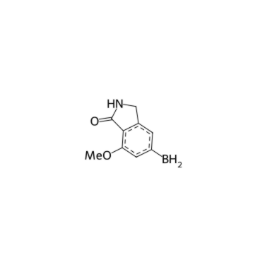 Bc1cc2c(c(OC)c1)C(=O)NC2